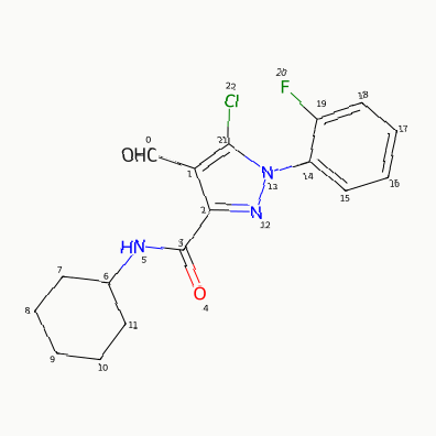 O=Cc1c(C(=O)NC2CCCCC2)nn(-c2ccccc2F)c1Cl